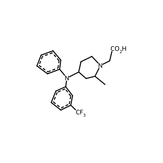 CC1CC(N(c2ccccc2)c2cccc(C(F)(F)F)c2)CCN1CC(=O)O